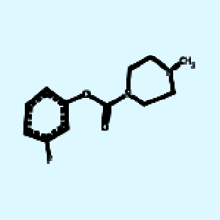 CN1CCN(C(=O)Oc2cccc(F)c2)CC1